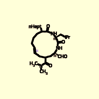 CCCCCCCC1CCC/C=C/CC(C(=O)N(C)C)C[C@@H](C=O)NC(=O)[C@H](CC(C)C)NC1=O